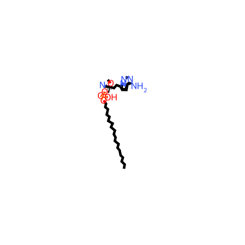 CCCCCCCCCCCCCCCCCCCCOP(=O)(O)OC[C@](C#N)(CCc1ccc2c(N)ncnn12)OC